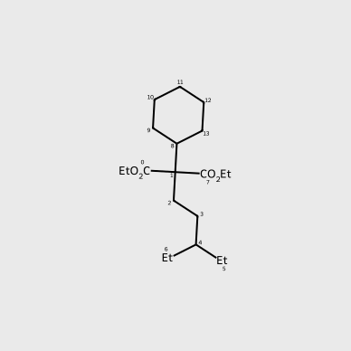 CCOC(=O)C(CCC(CC)CC)(C(=O)OCC)C1CCCCC1